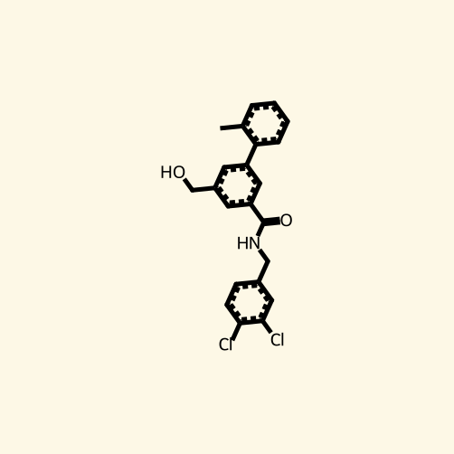 Cc1ccccc1-c1cc(CO)cc(C(=O)NCc2ccc(Cl)c(Cl)c2)c1